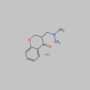 CN(C)CC1COc2ccccc2C1=O.Cl